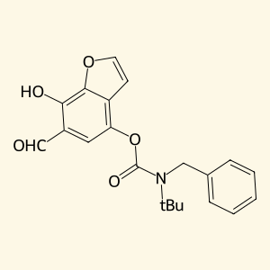 CC(C)(C)N(Cc1ccccc1)C(=O)Oc1cc(C=O)c(O)c2occc12